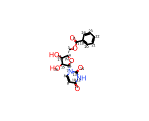 O=C(OC[C@@H]1O[C@H](n2ccc(=O)[nH]c2=O)C(O)C1O)c1ccccc1